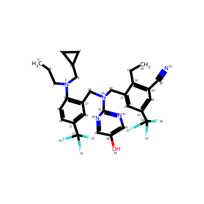 CCCN(CC1CC1)c1ccc(C(F)(F)F)cc1CN(Cc1cc(C(F)(F)F)cc(C#N)c1CC)c1ncc(O)cn1